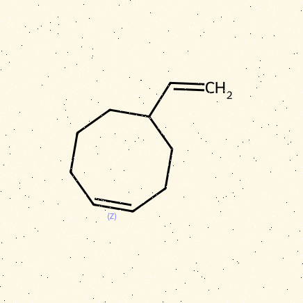 C=CC1CC/C=C\CCC1